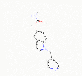 CCCCNC(=O)Oc1ccc2c(ccn2Cc2ccncc2)c1